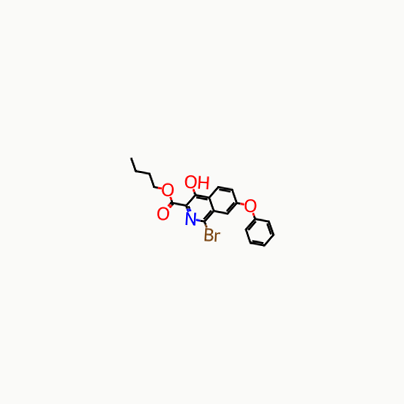 CCCCOC(=O)c1nc(Br)c2cc(Oc3ccccc3)ccc2c1O